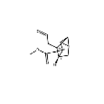 COC(=O)[C@H]1C2C3C[C@@H]1C(CC=O)C32